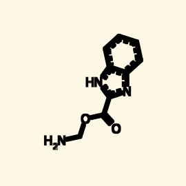 NCOC(=O)c1nc2ccccc2[nH]1